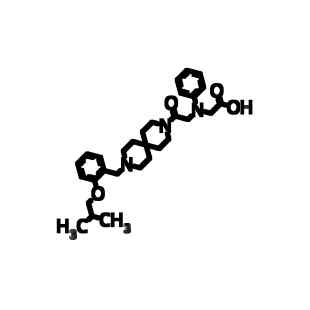 CC(C)COc1ccccc1CN1CCC2(CC1)CCN(C(=O)CN(CC(=O)O)c1ccccc1)CC2